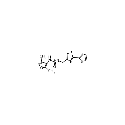 Cc1noc(C)c1NC(=O)NCc1csc(-c2cccs2)n1